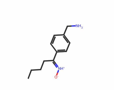 CCCCC(=[NH+][O-])c1ccc(CN)cc1